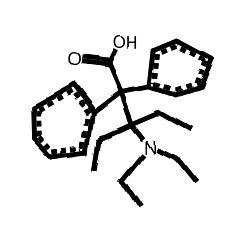 CCN(CC)C(CC)(CC)C(C(=O)O)(c1ccccc1)c1ccccc1